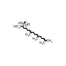 CCOP(=O)(O)C(CCC/C=C(\C)CC/C=C(\C)CCC=C(C)C)S(=O)(=O)O